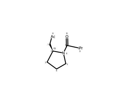 CC(=O)C[C@@H]1CCCN1C(=O)C(C)C